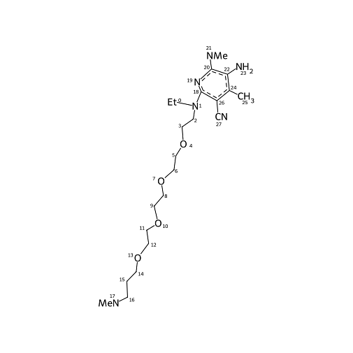 CCN(CCOCCOCCOCCOCCCNC)c1nc(NC)c(N)c(C)c1C#N